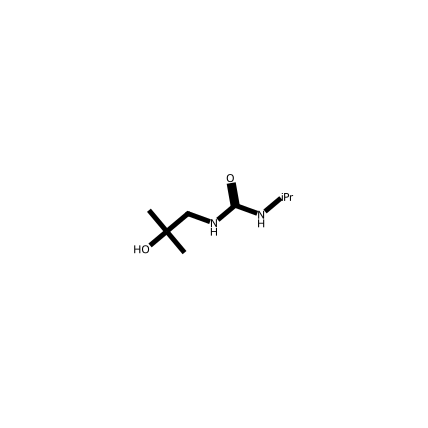 CC(C)NC(=O)NCC(C)(C)O